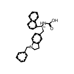 O=C(O)N[C@@H](Cc1ccc2c(c1)CCN2Cc1ccccc1)c1cccc2ccccc12